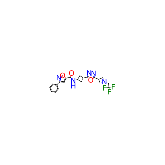 O=C(N[C@H]1C[C@H](c2nnc(C3CN(CC(F)(F)F)C3)o2)C1)c1cc(-c2ccccc2)no1